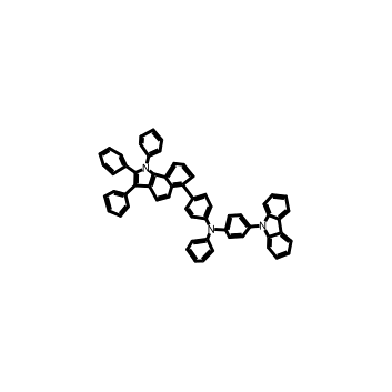 c1ccc(-c2c(-c3ccccc3)n(-c3ccccc3)c3c2ccc2c(-c4ccc(N(c5ccccc5)c5ccc(-n6c7ccccc7c7ccccc76)cc5)cc4)cccc23)cc1